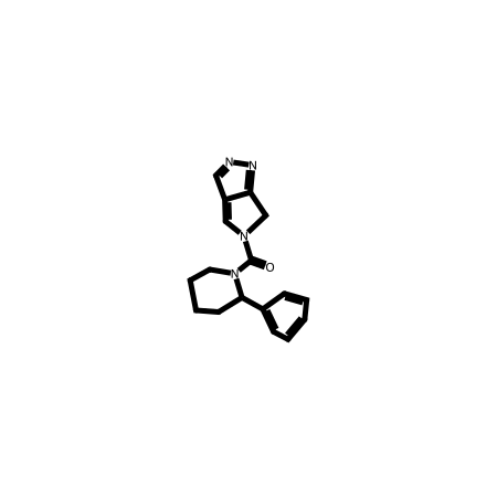 O=C(N1C=C2C=NN=C2C1)N1CCCCC1c1ccccc1